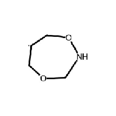 [CH]1COCNOC1